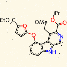 CCOC(=O)c1ccc(Oc2cccc3[nH]c4cnc(C(=O)OC(C)C)c(COC)c4c23)o1